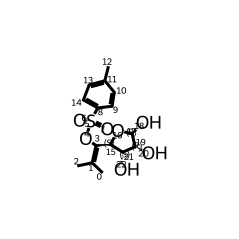 CC(C)=C(OS(=O)(=O)c1ccc(C)cc1)[C@H]1O[C@@H](O)[C@H](O)[C@@H]1O